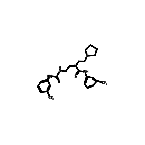 FC(F)(F)c1cccc(NC(=S)NCCN(CCN2CCCC2)C(=S)Nc2cccc(C(F)(F)F)c2)c1